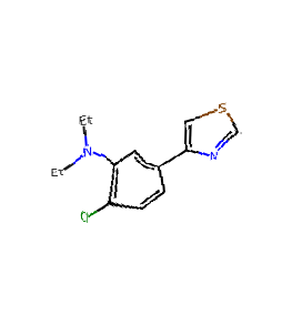 CCN(CC)c1cc(-c2cs[c]n2)ccc1Cl